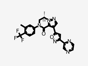 Cc1cc(N2C[C@H](C)n3ncc(-c4cc(-c5cnccn5)no4)c3C2=O)ccc1C(F)(F)F